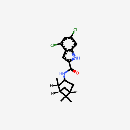 C[C@@H]1C(NC(=O)c2cc3c(Cl)cc(Cl)cc3[nH]2)C[C@H]2C[C@@H]1C2(C)C